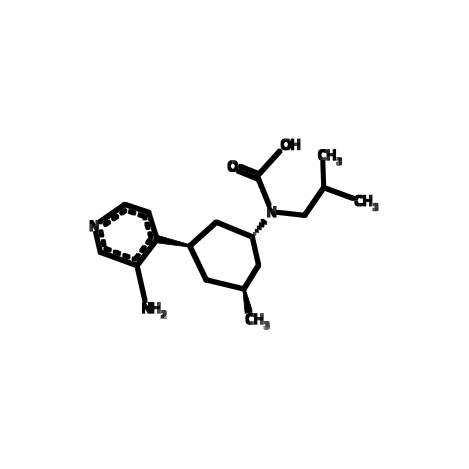 CC(C)CN(C(=O)O)[C@@H]1C[C@@H](C)C[C@@H](c2ccncc2N)C1